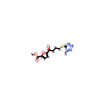 COC(=O)c1ccc(C(=O)CCCSc2nnnn2C)o1